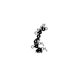 COc1cc(-c2cn(C)c(=O)c3[nH]ncc23)cc(Cl)c1CC1CCN(CC(=O)N2CCC(c3ccc(NC4CCC(=O)NC4=O)cc3Cl)CC2)CC1